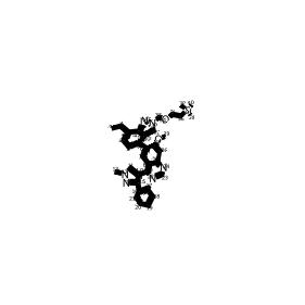 CCc1ccc(-c2cc3c(-c4cn(C)nc4-c4ccccc4)ncnc3cc2OC)c2cn(COCC[Si](C)(C)C)nc12